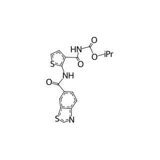 CC(C)OC(=O)NC(=O)c1ccsc1NC(=O)c1ccc2ncsc2c1